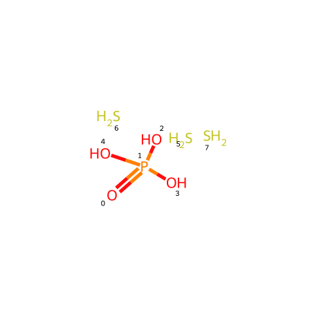 O=P(O)(O)O.S.S.S